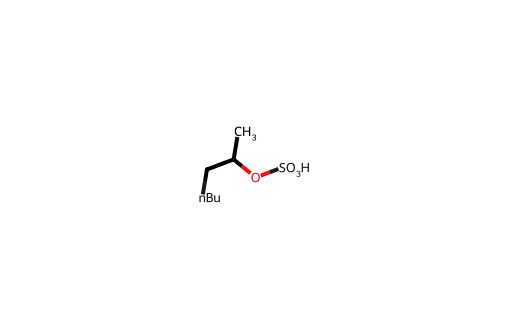 CCCCCC(C)OS(=O)(=O)O